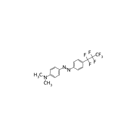 CN(C)c1ccc(N=Nc2ccc(C(F)(F)C(F)(F)C(F)(F)F)cc2)cc1